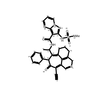 C#CC1=C2C=NCC3=C2C(=C(C(C)NC(=O)c2c(NS(=O)(=O)NC)nn4cccnc24)C(c2ccccc2)C1=O)CCC3